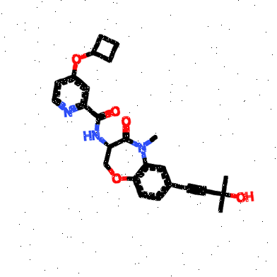 CN1C(=O)[C@H](NC(=O)c2cc(OC3CCC3)ccn2)COc2ccc(C#CC(C)(C)O)cc21